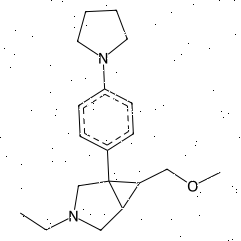 CCN1CC2C(COC)C2(c2ccc(N3CCCC3)cc2)C1